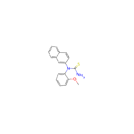 COc1ccccc1N(C(N)=S)c1ccc2ccccc2c1